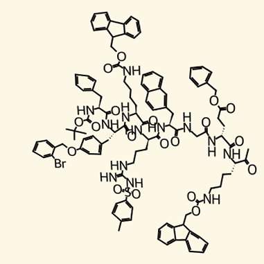 CC(=O)[C@H](CCCCNC(=O)OCC1c2ccccc2-c2ccccc21)NC(=O)[C@@H](CCC(=O)OCc1ccccc1)NC(=O)CNC(=O)[C@H](Cc1ccc2ccccc2c1)NC(=O)[C@@H](CCCNC(=N)NS(=O)(=O)c1ccc(C)cc1)NC(=O)[C@H](CCCCNC(=O)OCC1c2ccccc2-c2ccccc21)NC(=O)[C@H](Cc1ccc(OCc2ccccc2Br)cc1)NC(=O)[C@H](Cc1ccccc1)NC(=O)OC(C)(C)C